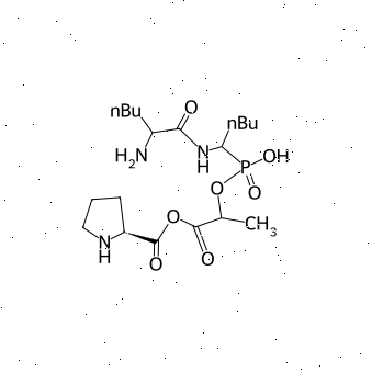 CCCCC(N)C(=O)NC(CCCC)P(=O)(O)OC(C)C(=O)OC(=O)[C@@H]1CCCN1